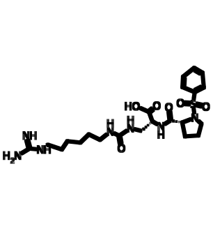 N=C(N)NCCCCCCNC(=O)NC[C@@H](NC(=O)[C@H]1CCCN1S(=O)(=O)c1ccccc1)C(=O)O